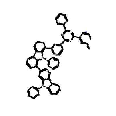 C=C/C=C(\C=C/C)c1nc(-c2ccccc2)nc(-c2cccc(-c3cccc4c5cccc(-c6ccc7c8ccccc8n(-c8ccccc8)c7c6)c5n(-c5ccccc5)c34)c2)n1